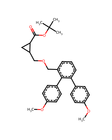 COc1ccc(-c2cccc(COCC3CC3C(=O)OC(C)(C)C)c2-c2ccc(OC)cc2)cc1